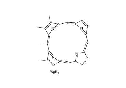 CC1=CC2=CC3=NC(=CC4=NC(=CC5=NC(=C(C)C1=N2)C(C)=C5C)C=C4)C=C3.[MgH2]